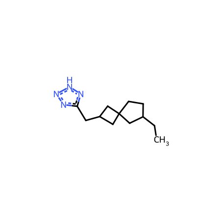 CCC1CCC2(C1)CC(Cc1nn[nH]n1)C2